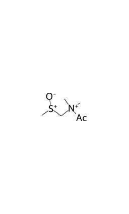 CC(=O)[N+](C)(C)C[S+](C)[O-]